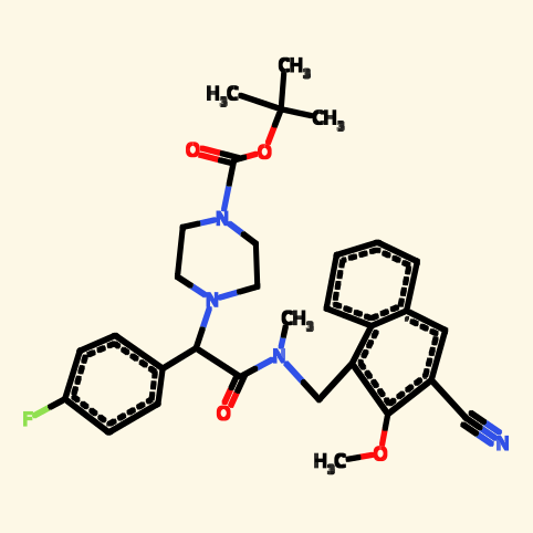 COc1c(C#N)cc2ccccc2c1CN(C)C(=O)C(c1ccc(F)cc1)N1CCN(C(=O)OC(C)(C)C)CC1